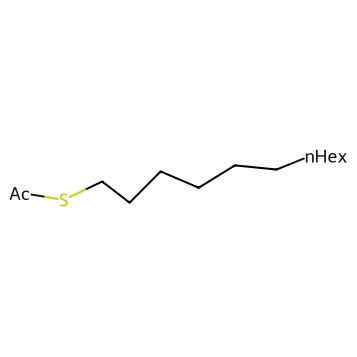 CCCCCCCCCCCCSC(C)=O